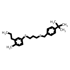 CCCc1cc(SCCCSCc2ccc(C(C)(C)C)cc2)ccc1C